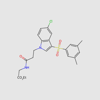 CCOC(=O)CNC(=O)CCn1cc(S(=O)(=O)c2cc(C)cc(C)c2)c2cc(Cl)ccc21